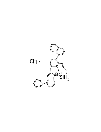 CC.CCC1=Cc2c(-c3cccc4ccccc34)cccc2[CH]1[Zr+2]([SiH2]C)[CH]1C(C)=Cc2c(-c3ccccc3)cccc21.[Cl-].[Cl-]